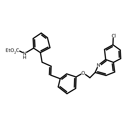 CCOC(=O)Nc1ccccc1CC=Cc1cccc(OCc2ccc3ccc(Cl)cc3n2)c1